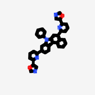 c1ccc(-n2c3cc(-c4cccc(-c5cnco5)n4)ccc3c3c4ccccc4c(-c4cccc(-c5cnco5)n4)cc32)cc1